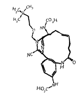 C[Si](C)(C)CCOCn1c2nc(c1C#N)-c1ccc(NC(=O)O)cc1NC(=O)CC/C=C/C[C@@H]2NC(=O)O